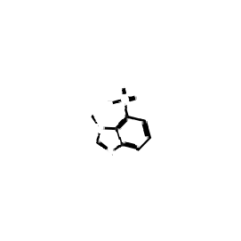 Cn1cnc2cccc(S(=O)(=O)F)c21